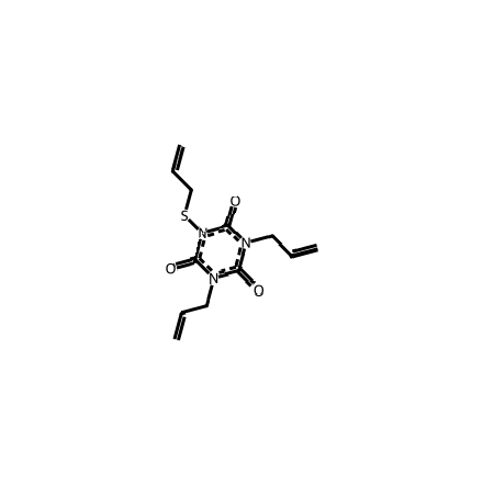 C=CCSn1c(=O)n(CC=C)c(=O)n(CC=C)c1=O